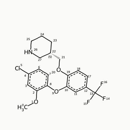 COc1cc(Cl)ccc1Oc1cc(C(F)(F)F)ccc1OC[C@H]1CCCNC1